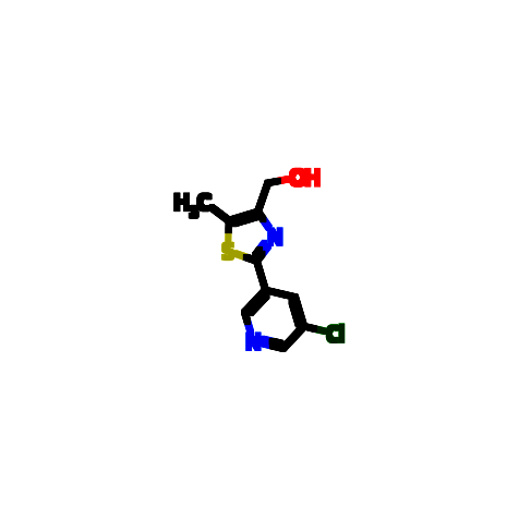 Cc1sc(-c2cncc(Cl)c2)nc1CO